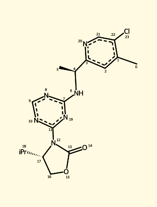 Cc1cc([C@H](C)Nc2ncnc(N3C(=O)OC[C@@H]3C(C)C)n2)ncc1Cl